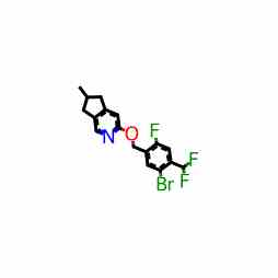 CC1Cc2cnc(OCc3cc(Br)c(C(F)F)cc3F)cc2C1